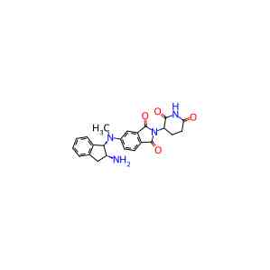 CN(c1ccc2c(c1)C(=O)N(C1CCC(=O)NC1=O)C2=O)[C@@H]1c2ccccc2C[C@@H]1N